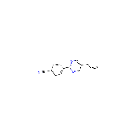 C=CCc1cnc(-c2ccc(C#N)cc2)nc1